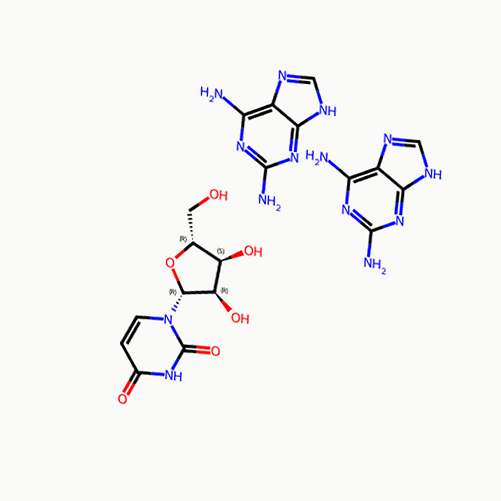 Nc1nc(N)c2nc[nH]c2n1.Nc1nc(N)c2nc[nH]c2n1.O=c1ccn([C@@H]2O[C@H](CO)[C@@H](O)[C@H]2O)c(=O)[nH]1